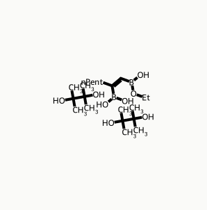 CC(C)(O)C(C)(C)O.CC(C)(O)C(C)(C)O.CCCCCC(=CB(O)OCC)B(O)O